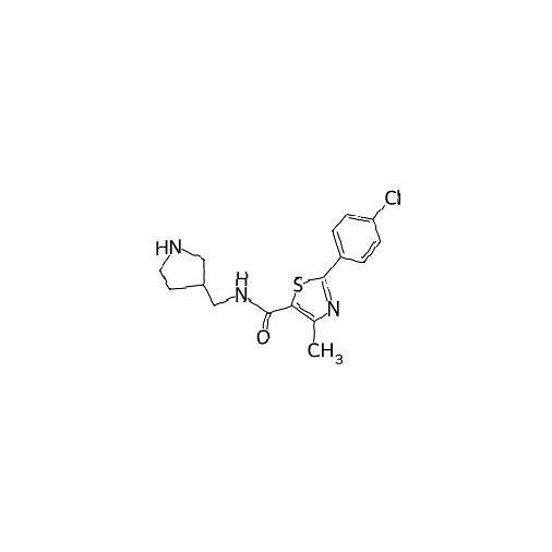 Cc1nc(-c2ccc(Cl)cc2)sc1C(=O)NCC1CCNC1